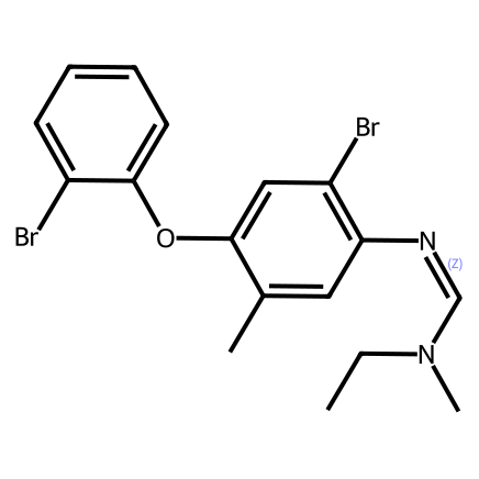 CCN(C)/C=N\c1cc(C)c(Oc2ccccc2Br)cc1Br